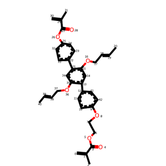 C=C(C)C(=O)OCCOc1ccc(-c2cc(OC/C=C/C)c(-c3ccc(OC(=O)C(=C)C)cc3)cc2OC/C=C/C)cc1